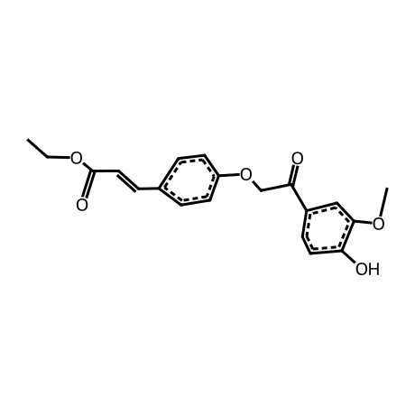 CCOC(=O)C=Cc1ccc(OCC(=O)c2ccc(O)c(OC)c2)cc1